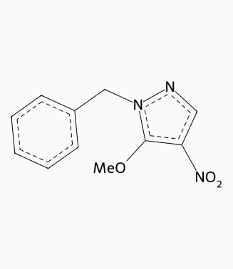 COc1c([N+](=O)[O-])cnn1Cc1ccccc1